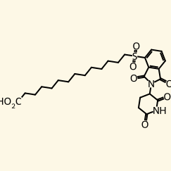 O=C(O)CCCCCCCCCCCCCS(=O)(=O)c1cccc2c1C(=O)N(C1CCC(=O)NC1=O)C2=O